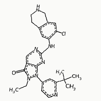 CCn1c(=O)c2cnc(Nc3cc4c(cc3Cl)CNCC4)nc2n1-c1ccnc(C(C)(C)C)c1